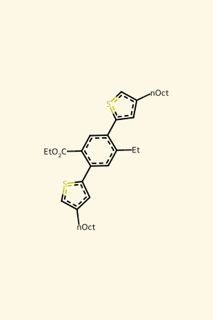 CCCCCCCCc1csc(-c2cc(C(=O)OCC)c(-c3cc(CCCCCCCC)cs3)cc2CC)c1